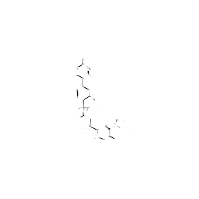 C=C(/C=N\C=C(/C)CC(=O)C(C)(C)c1ccc(-c2cnc(C)nc2)cc1C)C(=O)N(C)C